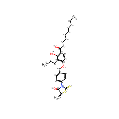 C=C1SC(=S)N(c2ccc(COc3ccc(C(=O)CCCCCCCCC)c(O)c3CCC)cc2)C1=O